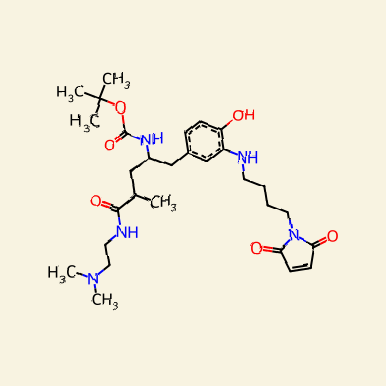 CC(C[C@H](Cc1ccc(O)c(NCCCCN2C(=O)C=CC2=O)c1)NC(=O)OC(C)(C)C)C(=O)NCCN(C)C